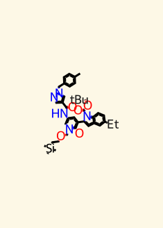 CCc1ccc2c(c1)cc(-c1cc(NC(=O)c3cnn(Cc4ccc(C)cc4)c3)cn(COCC[Si](C)(C)C)c1=O)n2C(=O)OC(C)(C)C